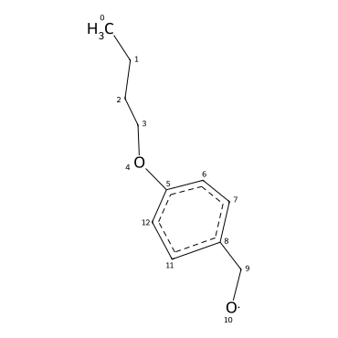 CCCCOc1ccc(C[O])cc1